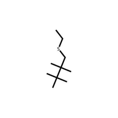 CCSCC(C)(C)C(C)(C)C